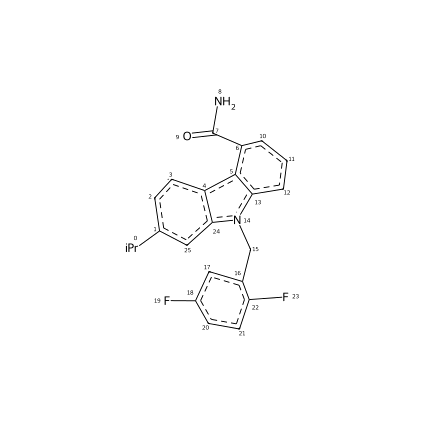 CC(C)c1c[c]c2c3c(C(N)=O)cccc3n(Cc3cc(F)ccc3F)c2c1